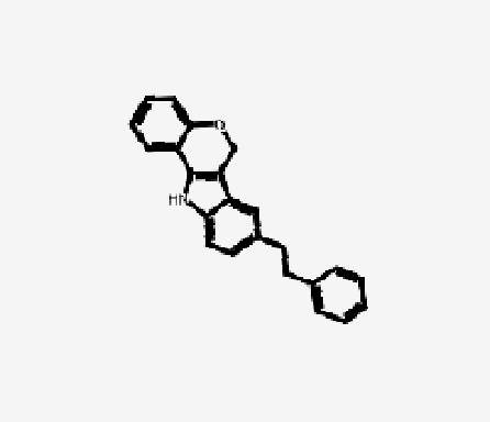 c1ccc(CCc2ccc3[nH]c4c(c3c2)COc2ccccc2-4)cc1